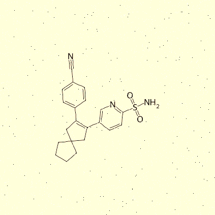 N#Cc1ccc(C2=C(c3ccc(S(N)(=O)=O)nc3)CC3(CCCC3)C2)cc1